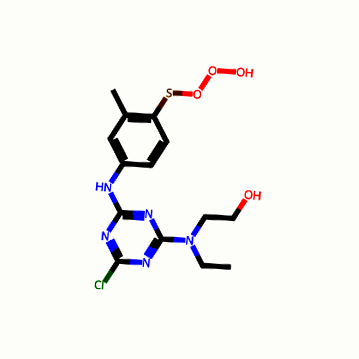 CCN(CCO)c1nc(Cl)nc(Nc2ccc(SOOO)c(C)c2)n1